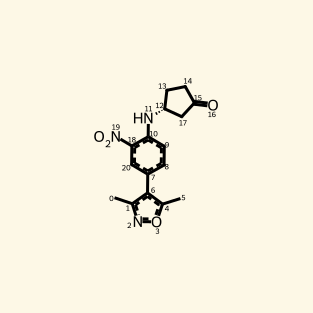 Cc1noc(C)c1-c1ccc(N[C@@H]2CCC(=O)C2)c([N+](=O)[O-])c1